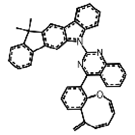 C=C1/C=C\C=C/Oc2c1cccc2-c1nc(-n2c3ccccc3c3cc4c(cc32)-c2ccccc2C4(C)C)nc2ccccc12